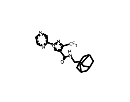 O=C(NCC12CC3CC(CC(C3)C1)C2)c1cn(-c2cnccn2)nc1C(F)(F)F